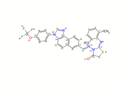 Cc1cccc(C)c1/N=C1/SCC(=O)N1/N=C/c1ccc2c(ccc3c2ncn3-c2ccc(OC(F)(F)F)cc2)c1